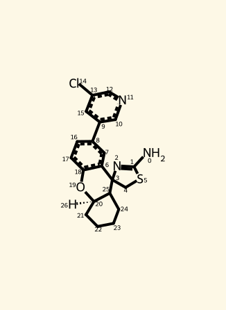 NC1=NC2(CS1)c1cc(-c3cncc(Cl)c3)ccc1O[C@@H]1CCCCC12